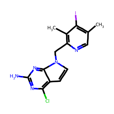 Cc1cnc(Cn2ccc3c(Cl)nc(N)nc32)c(C)c1I